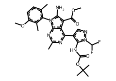 COC(=O)c1c(N)n(-c2c(C)ccc(OC)c2C)c2nc(C)nc(-c3cnn(C(F)F)c3NC(=O)OC(C)(C)C)c12